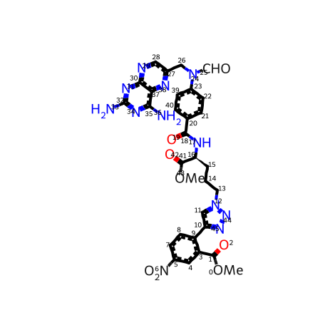 COC(=O)c1cc([N+](=O)[O-])ccc1-c1cn(CCC[C@H](NC(=O)c2ccc(N(C=O)Cc3cnc4nc(N)nc(N)c4n3)cc2)C(=O)OC)nn1